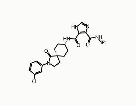 CC(C)NC(=O)c1nc[nH]c1C(=O)N[C@H]1CC[C@@]2(CCN(c3cccc(Cl)c3)C2=O)CC1